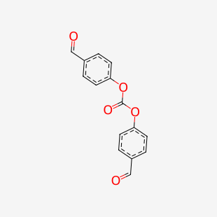 O=Cc1ccc(OC(=O)Oc2ccc(C=O)cc2)cc1